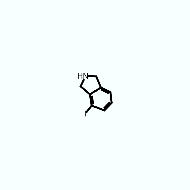 Ic1cccc2c1CNC2